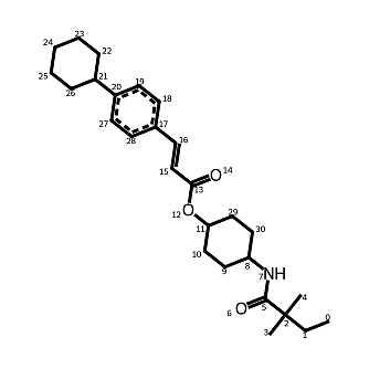 CCC(C)(C)C(=O)NC1CCC(OC(=O)/C=C/c2ccc(C3CCCCC3)cc2)CC1